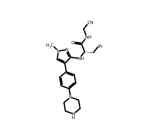 CC(C)C[C@H](Nc1nn(C)cc1-c1ccc(N2CCNCC2)cc1)C(=O)NCC#N